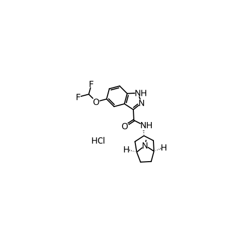 CN1[C@@H]2CC[C@H]1C[C@H](NC(=O)c1n[nH]c3ccc(OC(F)F)cc13)C2.Cl